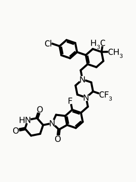 CC1(C)CCC(CN2CCN(Cc3ccc4c(c3F)CN(C3CCC(=O)NC3=O)C4=O)C(C(F)(F)F)C2)=C(c2ccc(Cl)cc2)C1